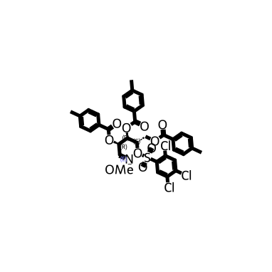 CO/N=C/[C@@H](OC(=O)c1ccc(C)cc1)[C@@H](OC(=O)c1ccc(C)cc1)[C@H](COC(=O)c1ccc(C)cc1)OS(=O)(=O)c1cc(Cl)c(Cl)cc1Cl